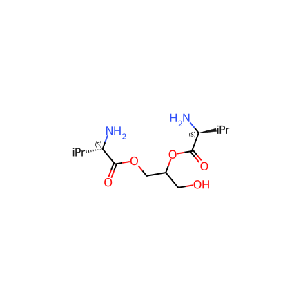 CC(C)[C@H](N)C(=O)OCC(CO)OC(=O)[C@@H](N)C(C)C